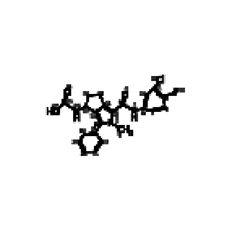 Cn1c(C(=O)Nc2ccc(F)c(Cl)c2)c2c(c1-c1ccccc1)C(NC(=O)O)CC2